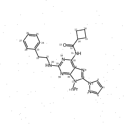 CCCn1c(-n2cccn2)nc2c(NC(=O)C3CCC3)nc(NCCc3ccccc3)nc21